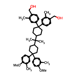 COc1ccc(C2(c3ccc(OC)c(C)c3)CCC(C(C)(C)C3CCC(c4ccc(CO)c(C)c4)(c4ccc(CO)c(C)c4)CC3)CC2)cc1C